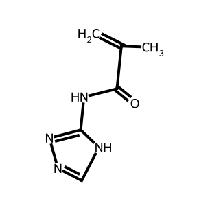 C=C(C)C(=O)Nc1nnc[nH]1